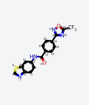 O=C(Nc1ccc2ncsc2c1)c1ccc(-c2noc(C(F)(F)F)n2)cc1